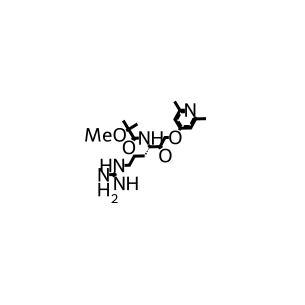 COC(C)(C)C(=O)N[C@@H](CCCNC(=N)N)C(=O)COc1cc(C)nc(C)c1